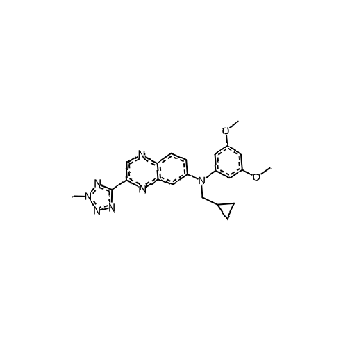 COc1cc(OC)cc(N(CC2CC2)c2ccc3ncc(-c4nnn(C)n4)nc3c2)c1